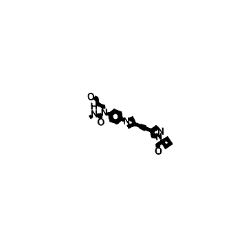 CNC(=O)N(CCC=O)c1ccc(N2CC(C#Cc3cnn(C4(C=O)CCC4)c3)C2)cc1